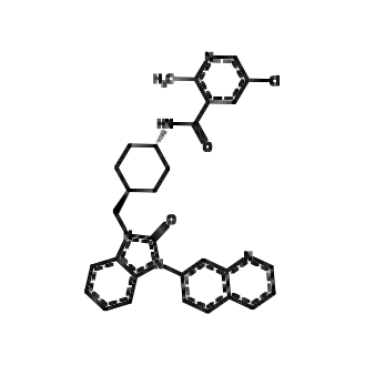 Cc1ncc(Cl)cc1C(=O)N[C@H]1CC[C@H](Cn2c(=O)n(-c3ccc4cccnc4c3)c3ccccc32)CC1